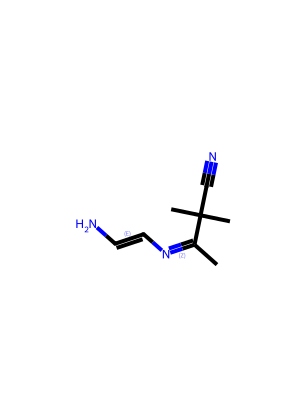 C/C(=N/C=C/N)C(C)(C)C#N